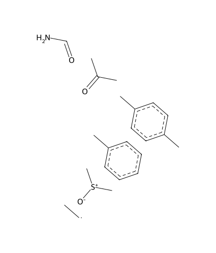 CC(C)=O.C[S+](C)[O-].Cc1ccc(C)cc1.Cc1ccccc1.NC=O.[CH2]C